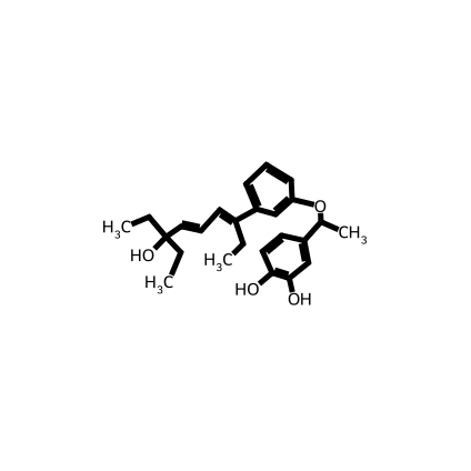 CC/C(=C\C=C\C(O)(CC)CC)c1cccc(OC(C)c2ccc(O)c(O)c2)c1